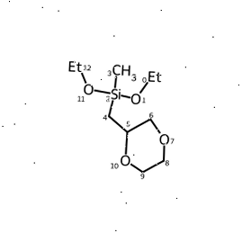 CCO[Si](C)(CC1COCCO1)OCC